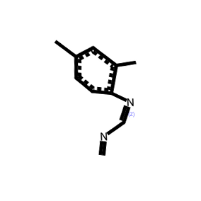 C=N/C=N\c1ccc(C)cc1C